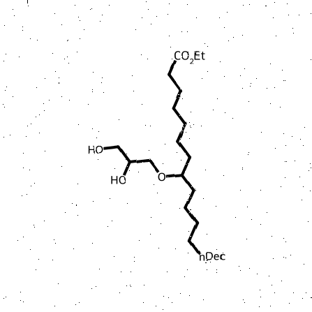 CCCCCCCCCCCCCCC(CCCCCCC(=O)OCC)OCC(O)CO